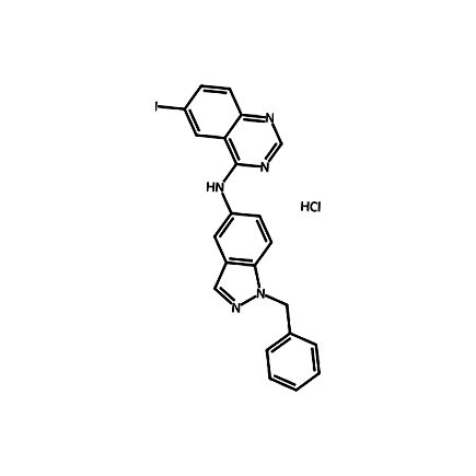 Cl.Ic1ccc2ncnc(Nc3ccc4c(cnn4Cc4ccccc4)c3)c2c1